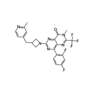 Cc1cc(CC2CN(c3nc(-c4ccc(F)cc4F)c4nc(C(F)(F)F)n(C)c(=O)c4n3)C2)ccn1